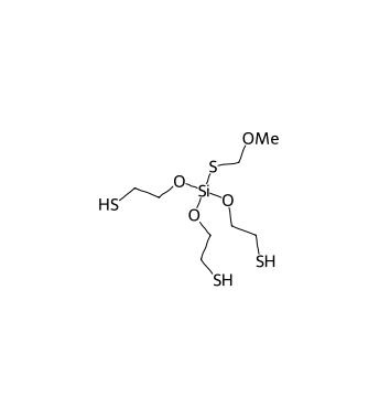 COCS[Si](OCCS)(OCCS)OCCS